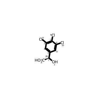 O=C(O)[C@H](O)c1cc(Cl)c(Cl)c(Cl)c1